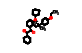 CCOc1ccc(C(C)(C)Cc2c(Oc3ccccc3)cccc2C(=O)C(=O)c2ccccc2)cc1